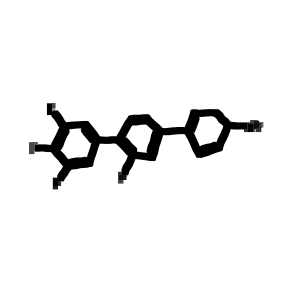 CCCC1C=CC(c2ccc(-c3cc(F)c(F)c(F)c3)c(F)c2)=CC1